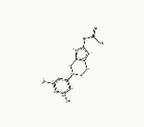 N=C(N)Nc1nc2c(s1)CC(c1cc(C(F)(F)F)cc(C(F)(F)F)c1)CC2